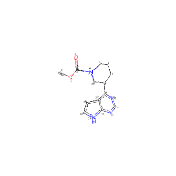 CC(C)(C)OC(=O)N1CCCC(c2ncnc3[nH]ccc23)C1